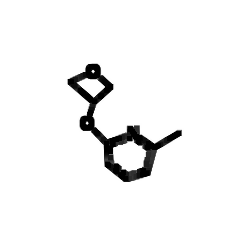 Cc1cccc(OC2COC2)n1